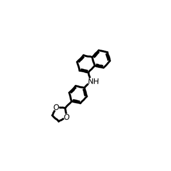 c1ccc2c(Nc3ccc(C4OCCO4)cc3)cccc2c1